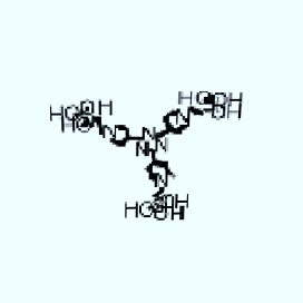 O[Si](O)(O)CC[n+]1ccc(-c2nc(-c3cc[n+](CC[Si](O)(O)O)cc3)nc(-c3cc[n+](CC[Si](O)(O)O)cc3)n2)cc1